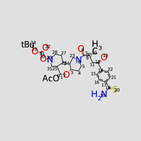 CC(=O)OC(OC1CCN(C(=O)[C@H](C)CC(=O)c2ccc(C(N)=S)cc2)CC1)C1CCCN(OC(=O)OC(C)(C)C)C1